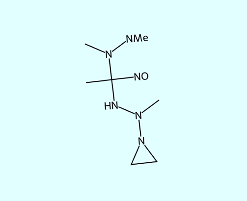 CNN(C)C(C)(N=O)NN(C)N1CC1